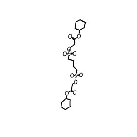 O=C(COS(=O)(=O)CCCCS(=O)(=O)OCC(=O)OC1CCCCC1)OC1CCCCC1